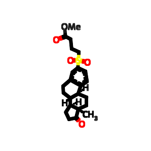 COC(=O)CCCS(=O)(=O)c1ccc2c(c1)CC[C@@H]1[C@@H]2CC[C@]2(C)C(=O)CC[C@@H]12